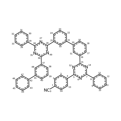 N#Cc1ccc(-c2nc(-c3ccccc3)nc(-c3cccc(-c4cccc(-c5nc(-c6ccccc6)nc(-c6cccc(-c7ccccc7)c6)n5)c4)c3)n2)cc1